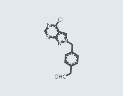 O=CCc1ccc(Cn2cc3c(Cl)ncnc3n2)cc1